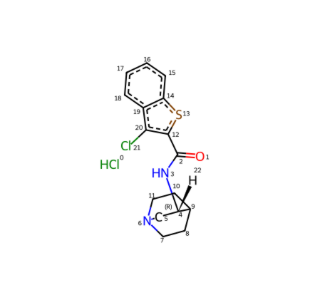 Cl.O=C(N[C@H]1CN2CCC1CC2)c1sc2ccccc2c1Cl